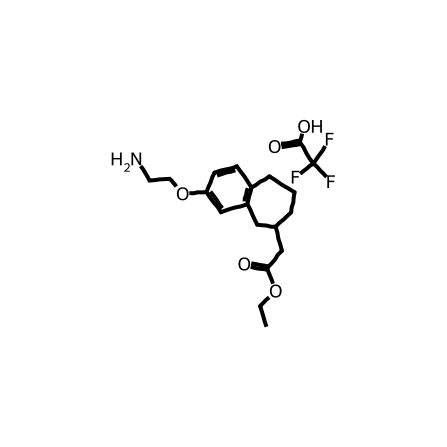 CCOC(=O)CC1CCCc2ccc(OCCN)cc2C1.O=C(O)C(F)(F)F